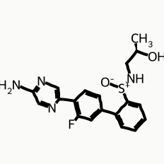 C[C@@H](O)CN[S+]([O-])c1ccccc1-c1ccc(-c2cnc(N)cn2)c(F)c1